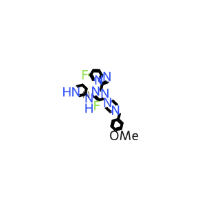 COc1ccc(CN2CCN(c3nc(-c4cnc5ccc(F)cn45)nc(N[C@@H]4CCCNC4)c3F)CC2)cc1